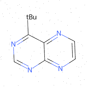 CC(C)(C)c1ncnc2nccnc12